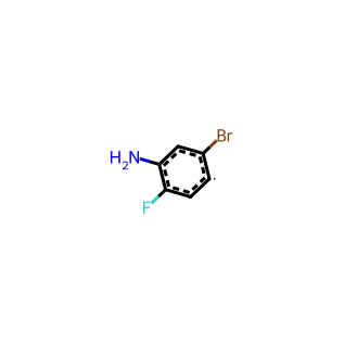 Nc1cc(Br)[c]cc1F